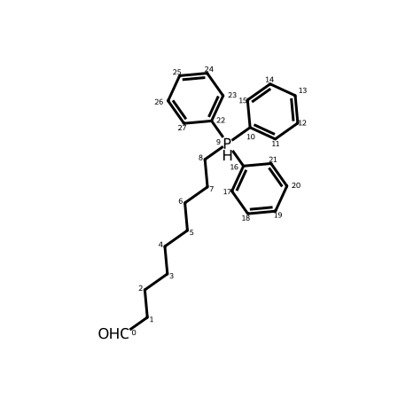 O=CCCCCCCCC[PH](c1ccccc1)(c1ccccc1)c1ccccc1